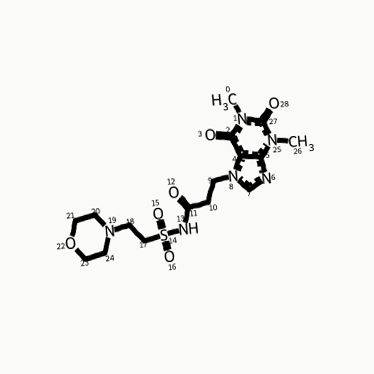 Cn1c(=O)c2c(ncn2CCC(=O)NS(=O)(=O)CCN2CCOCC2)n(C)c1=O